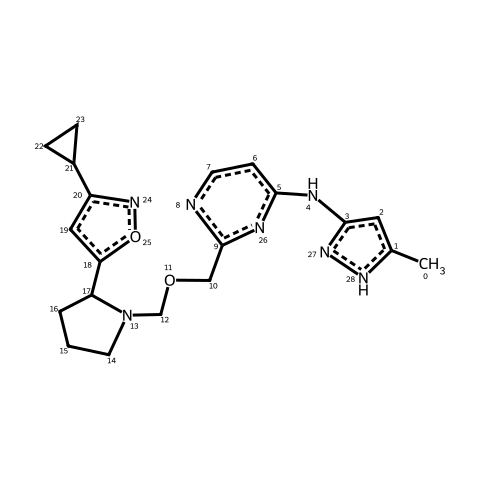 Cc1cc(Nc2ccnc(COCN3CCCC3c3cc(C4CC4)no3)n2)n[nH]1